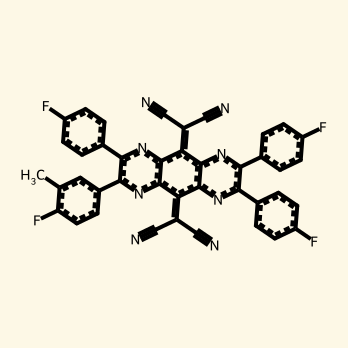 Cc1cc(-c2nc3c(=C(C#N)C#N)c4nc(-c5ccc(F)cc5)c(-c5ccc(F)cc5)nc4c(=C(C#N)C#N)c3nc2-c2ccc(F)cc2)ccc1F